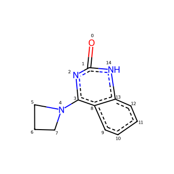 O=c1nc(N2CCC2)c2ccccc2[nH]1